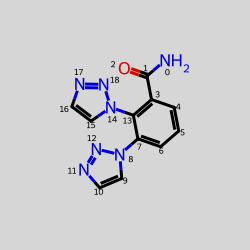 NC(=O)c1cccc(-n2ccnn2)c1-n1ccnn1